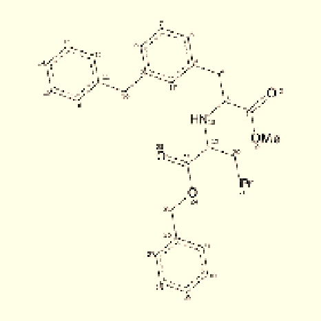 COC(=O)C(Cc1cccc(Cc2ccccc2)c1)NC(CC(C)C)C(=O)OCc1ccccc1